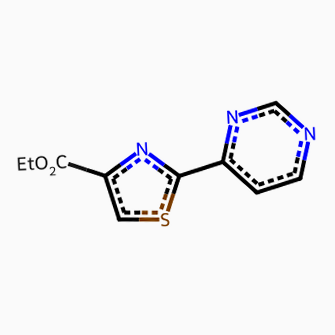 CCOC(=O)c1csc(-c2ccncn2)n1